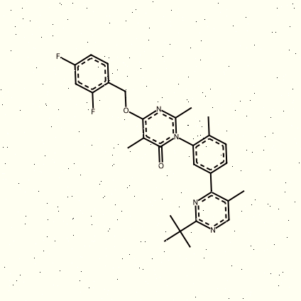 Cc1ccc(-c2nc(C(C)(C)C)ncc2C)cc1-n1c(C)nc(OCc2ccc(F)cc2F)c(C)c1=O